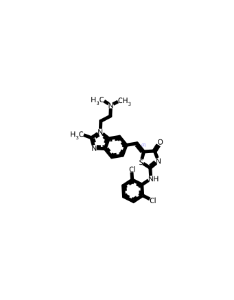 Cc1nc2ccc(/C=C3\SC(Nc4c(Cl)cccc4Cl)=NC3=O)cc2n1CCN(C)C